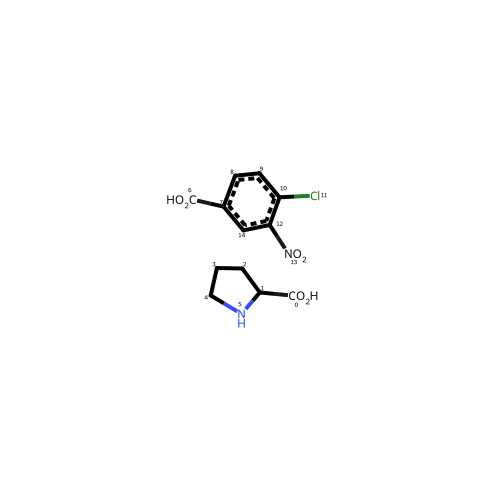 O=C(O)C1CCCN1.O=C(O)c1ccc(Cl)c([N+](=O)[O-])c1